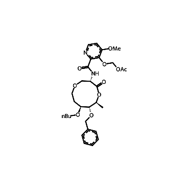 CCCCO[C@H]1CCOC[C@H](NC(=O)c2nccc(OC)c2OCOC(C)=O)C(=O)O[C@@H](C)[C@@H]1OCc1ccccc1